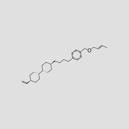 C=C[C@H]1CC[C@H]([C@H]2CC[C@H](CCCCc3ccc(COCC=CC)cc3)CC2)CC1